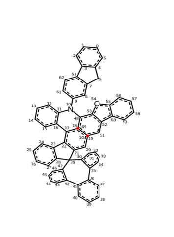 c1ccc2c(c1)Cc1cc(N(c3ccccc3-c3cccc4c3-c3ccccc3C43c4ccccc4-c4ccccc4-c4ccccc43)c3cccc4c3oc3ccccc34)ccc1-2